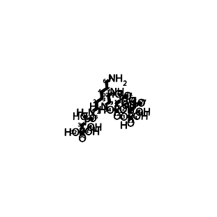 NCCCCCCN.NCCN.O=P(O)(O)CP(=O)(O)O.O=P(O)(O)CP(=O)(O)O.O=P(O)(O)CP(=O)(O)O